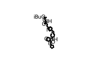 CC(C)COC(C)ONC(=O)/C=C/c1ccc(CN2CCC(NC3(C(=O)OC4CCCC4)CCOCC3)CC2)cn1